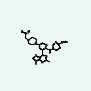 COc1ccc(Nc2ncc(N3CCN(C[SH](=O)=O)CC3)cc2-c2nc(C)nc3[nH]cnc23)cn1